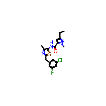 CCc1cc(C(=O)Nc2sc(Cc3cc(F)cc(Cl)c3)nc2C)n(C)n1